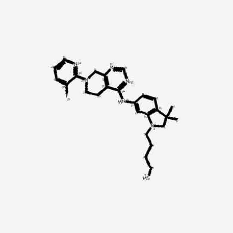 CC1(C)CN(CCCCS)c2cc(Nc3ncnc4c3CCN(c3ncccc3F)C4)ccc21